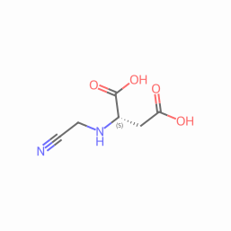 N#CCN[C@@H](CC(=O)O)C(=O)O